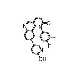 Cc1cc(-n2c(=O)ccc3cnc4ccc(-c5ccc(O)nc5)cc4c32)ccc1F